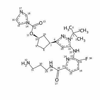 CC(C)(C)n1nc([C@H]2CC[C@@H](OC(=O)n3ccnc3)C2)cc1Nc1nc(C(=O)NCCCN)ccc1F